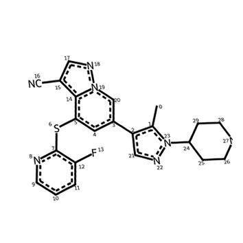 Cc1c(-c2cc(Sc3ncccc3F)c3c(C#N)cnn3c2)cnn1C1CCNCC1